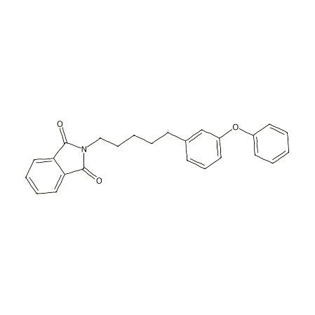 O=C1c2ccccc2C(=O)N1CCCC[CH]c1cccc(Oc2ccccc2)c1